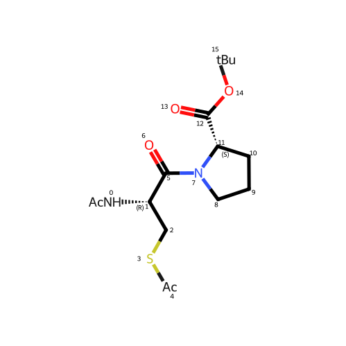 CC(=O)N[C@@H](CSC(C)=O)C(=O)N1CCC[C@H]1C(=O)OC(C)(C)C